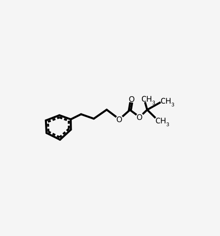 CC(C)(C)OC(=O)OCCCc1ccccc1